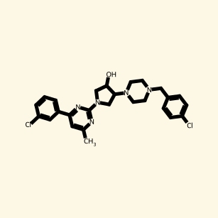 Cc1cc(-c2cccc(Cl)c2)nc(N2CC(O)C(N3CCN(Cc4ccc(Cl)cc4)CC3)C2)n1